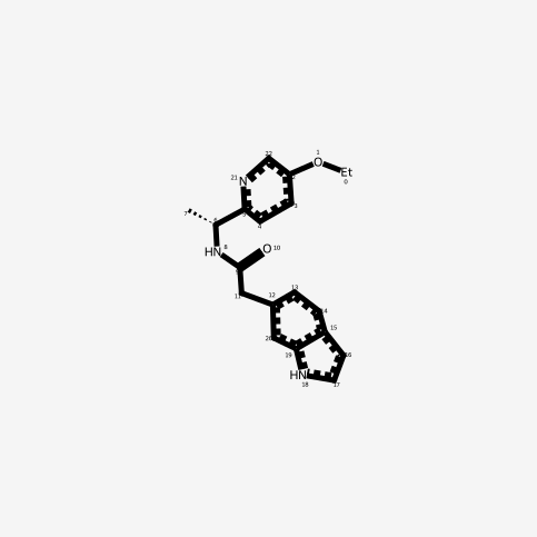 CCOc1ccc([C@@H](C)NC(=O)Cc2ccc3cc[nH]c3c2)nc1